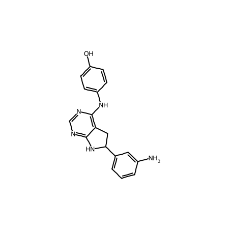 Nc1cccc(C2Cc3c(Nc4ccc(O)cc4)ncnc3N2)c1